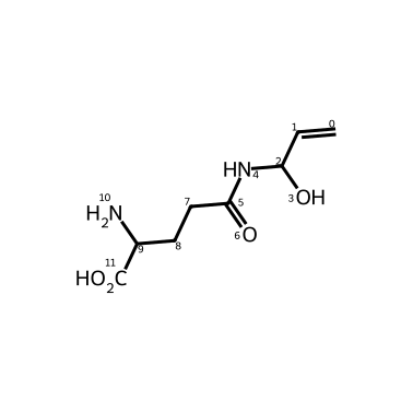 C=CC(O)NC(=O)CCC(N)C(=O)O